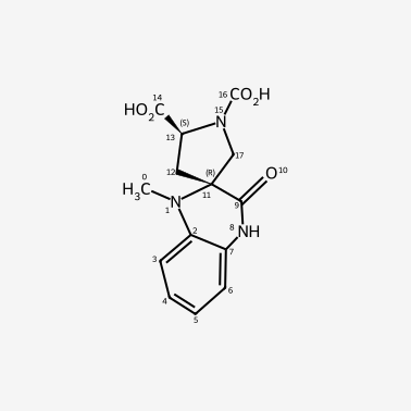 CN1c2ccccc2NC(=O)[C@]12C[C@@H](C(=O)O)N(C(=O)O)C2